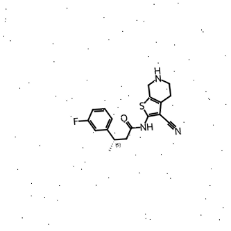 C[C@@H](CC(=O)Nc1sc2c(c1C#N)CCNC2)c1cccc(F)c1